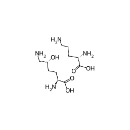 NCCC[C@H](N)C(=O)O.NC[C@H](O)CC[C@H](N)C(=O)O